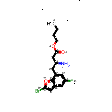 CCCCOC(=O)CC(N)Cc1cc(F)cc2cc(Br)oc12